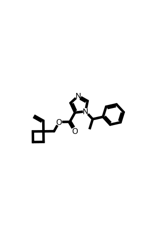 C=CC1(COC(=O)c2cncn2C(C)c2ccccc2)CCC1